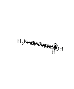 NCCCOCCCOCCOCCCNC(=O)O